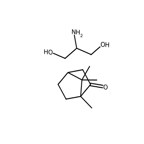 CC12CCC(CC1=O)C2(C)C.NC(CO)CO